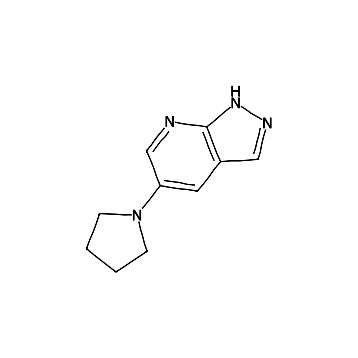 c1nc2[nH]ncc2cc1N1CCCC1